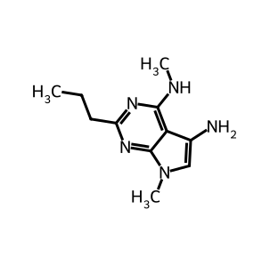 CCCc1nc(NC)c2c(N)cn(C)c2n1